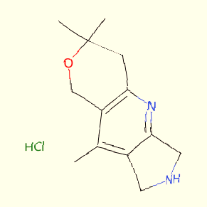 Cc1c2c(nc3c1COC(C)(C)C3)CNC2.Cl